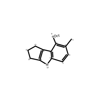 CCCCCCCCc1c(C)ccc2c1C1=C(CCC1)[N]2